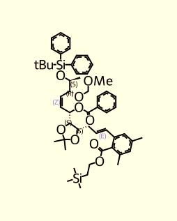 COCO[C@H](/C=C\C(OC(=O)c1ccccc1)[C@H]1OC(C)(C)O[C@H]1C/C=C/c1cc(C)cc(C)c1C(=O)OCC[Si](C)(C)C)[C@H](C)O[Si](c1ccccc1)(c1ccccc1)C(C)(C)C